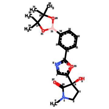 CN1CC[C@@](O)(c2cnc(-c3cccc(B4OC(C)(C)C(C)(C)O4)c3)o2)C1=O